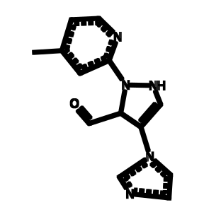 Cc1ccnc(N2NC=C(n3ccnc3)C2C=O)c1